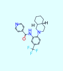 O=C(Nc1cc(C(F)(F)F)ccc1N1CC[C@H]2CCCC[C@@H]2C1)c1ccncc1